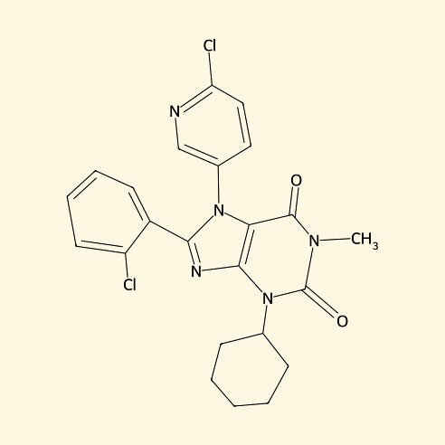 Cn1c(=O)c2c(nc(-c3ccccc3Cl)n2-c2ccc(Cl)nc2)n(C2CCCCC2)c1=O